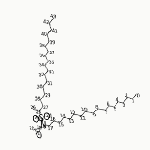 CCCCCCCCCCCCCCCCCCN(C1CO1)S(=O)(=O)C(C)CCCCCCCCCCCCCCCCC